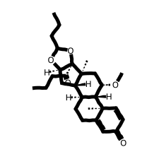 CCCC(=O)[C@@]12OC(CCC)O[C@@H]1C[C@H]1[C@@H]3CCC4=CC(=O)C=C[C@]4(C)[C@H]3[C@@H](OC)C[C@@]12C